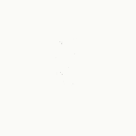 CCCC(=O)NCc1ccnc(OC)c1